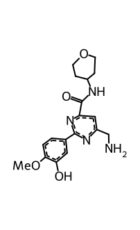 COc1ccc(-c2nc(CN)cc(C(=O)NC3CCOCC3)n2)cc1O